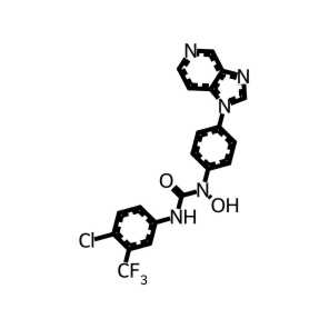 O=C(Nc1ccc(Cl)c(C(F)(F)F)c1)N(O)c1ccc(-n2cnc3cnccc32)cc1